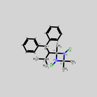 C[SiH](C)C([SiH](c1ccccc1)c1ccccc1)[Si]1(C)N(Cl)[Si](C)(C)N1Cl